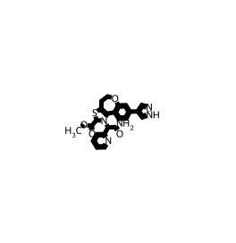 COC(=O)C1SC2=C(c3ccc(-c4cn[nH]c4)cc3OCC2)N1C(C(N)=O)c1ccccn1